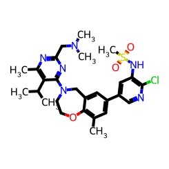 Cc1cc(-c2cnc(Cl)c(NS(C)(=O)=O)c2)cc2c1OCCN(c1nc(CN(C)C)nc(C)c1C(C)C)C2